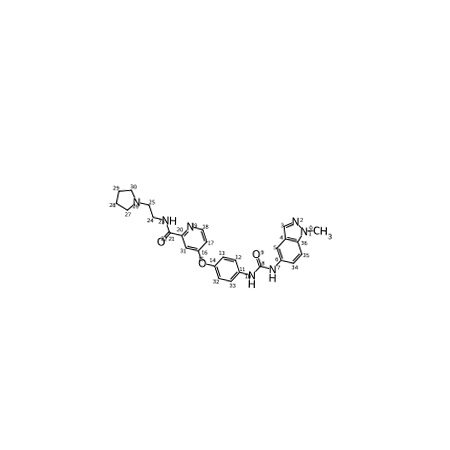 Cn1ncc2cc(NC(=O)Nc3ccc(Oc4ccnc(C(=O)NCCN5CCCC5)c4)cc3)ccc21